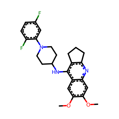 COc1cc2nc3c(c(NC4CCN(c5cc(F)ccc5F)CC4)c2cc1OC)CCC3